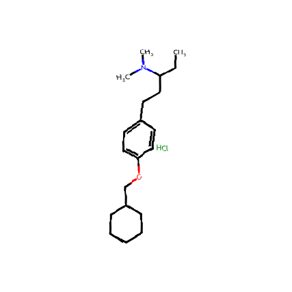 CCC(CCc1ccc(OCC2CCCCC2)cc1)N(C)C.Cl